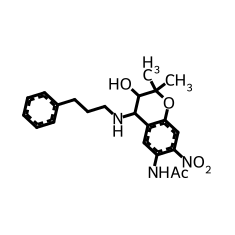 CC(=O)Nc1cc2c(cc1[N+](=O)[O-])OC(C)(C)C(O)C2NCCCc1ccccc1